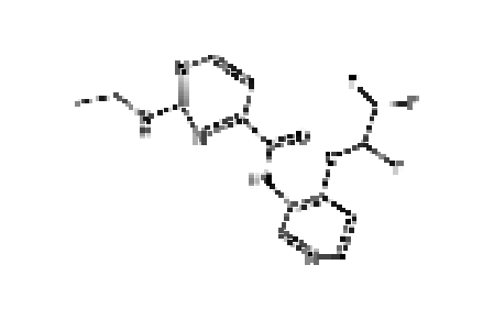 CCNc1nccc(C(=O)Nc2cnccc2OC(F)C(F)F)n1